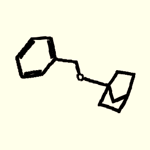 c1ccc(COC23CCC(CC2)C3)cc1